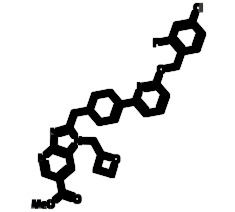 COC(=O)c1cnc2nc(CC3CC=C(c4cccc(OCc5ccc(Cl)cc5F)n4)CC3)n(CC3CCO3)c2c1